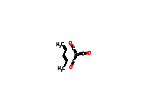 C=CC=CC.O=[C]=[Ru](=[C]=O)=[C]=O